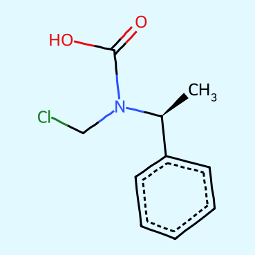 C[C@@H](c1ccccc1)N(CCl)C(=O)O